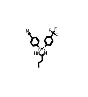 CCCC1=NN(c2ccc(C(F)(F)F)cc2)N(c2ccc(C#N)cc2)N1